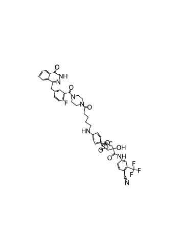 CC(O)(CS(=O)(=O)c1ccc(NCCCCC(=O)N2CCN(C(=O)c3cc(Cc4n[nH]c(=O)c5ccccc45)ccc3F)CC2)cc1)C(=O)Nc1ccc(C#N)c(C(F)(F)F)c1